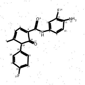 CC1=CC=C(C(=O)Nc2ccc(N)c(F)c2)C(=O)C1c1ccc(F)cc1